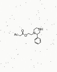 CC(=O)CC(=O)OCCN1CCNCC1c1ccccc1